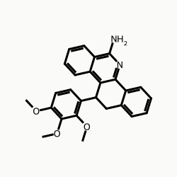 COc1ccc(C2Cc3ccccc3-c3nc(N)c4ccccc4c32)c(OC)c1OC